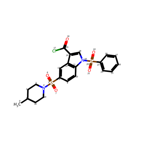 CC1CCN(S(=O)(=O)c2ccc3c(c2)c(C(=O)Cl)cn3S(=O)(=O)c2ccccc2)CC1